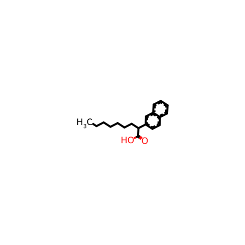 CCCCCCCC(C(=O)O)c1ccc2ccccc2c1